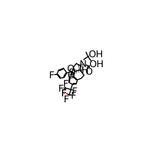 CC(C)(O)CN(C(=O)O)[C@H]1CC[C@@]2(S(=O)(=O)c3ccc(F)cc3)c3ccc(C(F)(C(F)(F)F)C(F)(F)F)cc3CC[C@@H]12